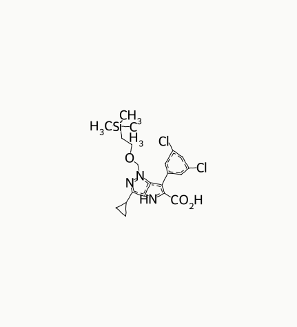 C[Si](C)(C)CCOCn1nc(C2CC2)c2[nH]c(C(=O)O)c(-c3cc(Cl)cc(Cl)c3)c21